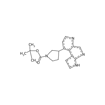 CC(C)(C)OC(=O)N1CCC(c2ccnc3cnc4[nH]ccc4c23)C1